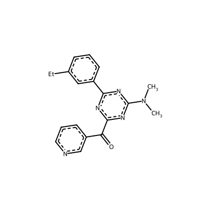 CCc1cccc(-c2nc(C(=O)c3cccnc3)nc(N(C)C)n2)c1